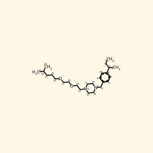 CCC(C)c1ccc(CN2CCN(CCOCCOCCCC(C)C)CC2)cc1